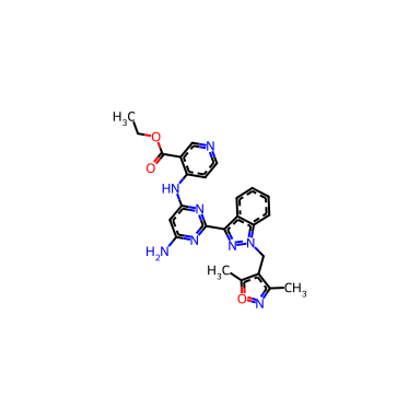 CCOC(=O)c1cnccc1Nc1cc(N)nc(-c2nn(Cc3c(C)noc3C)c3ccccc23)n1